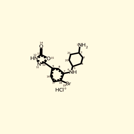 Cl.NC1CCC(Nc2cc(-c3n[nH]c(=O)o3)ccc2Br)CC1